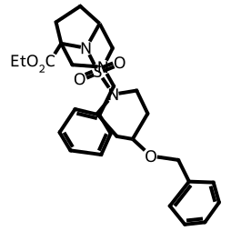 CCOC(=O)C12CCC(CN(Cc3ccccc3)C1)N2S(=O)(=O)N1CCC(OCc2ccccc2)CC1